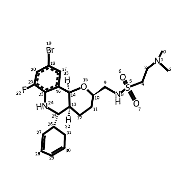 CN(C)CCS(=O)(=O)NC[C@H]1CC[C@@H]2[C@H](O1)c1cc(Br)cc(F)c1N[C@H]2C1C=CC=CC1